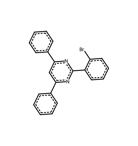 Brc1ccccc1-c1nc(-c2ccccc2)cc(-c2ccccc2)n1